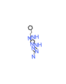 N#Cc1cnc(Nc2cc3[nH]c(CCc4ccccc4)nc3cn2)cn1